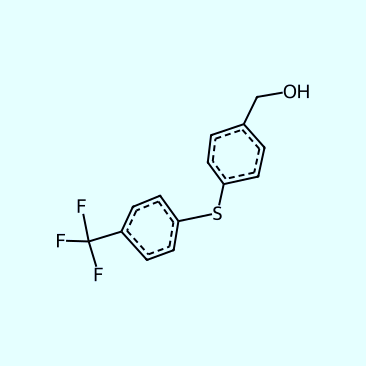 OCc1ccc(Sc2ccc(C(F)(F)F)cc2)cc1